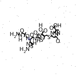 COCc1cc(SCC2=C(C(=O)O)N3C(=O)C(NC(=O)/C(=N\OC(C)(C)C(=O)NN)c4csc(N)n4)[C@H]3SC2)nc2c(C(=O)O)cnn12